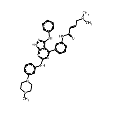 CN(C)C/C=C/C(=O)Nc1cccc(-c2nc(Nc3cccc(N4CCN(C)CC4)c3)nc3[nH]nc(Nc4ccccc4)c23)c1